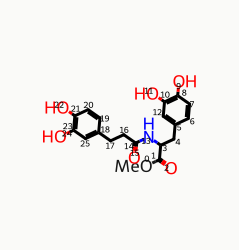 COC(=O)C(Cc1ccc(O)c(O)c1)NC(=O)CCc1ccc(O)c(O)c1